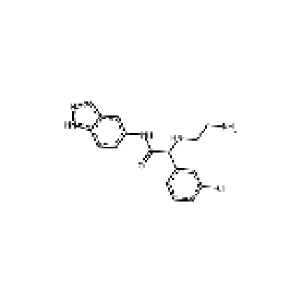 NCCNC(C(=O)Nc1ccc2[nH]ncc2c1)c1cccc(Cl)c1